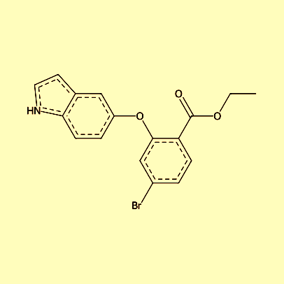 CCOC(=O)c1ccc(Br)cc1Oc1ccc2[nH]ccc2c1